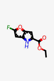 CCOC(=O)c1cc2oc(F)cc2[nH]1